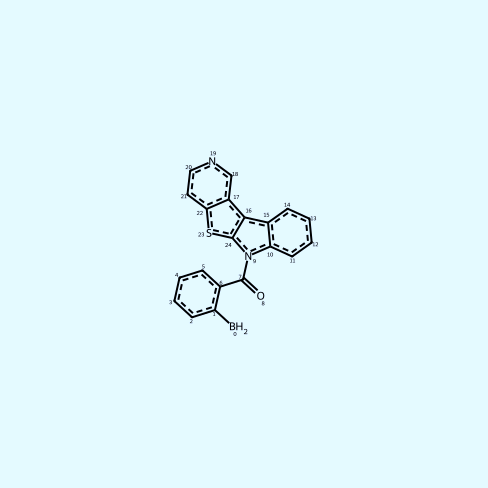 Bc1ccccc1C(=O)n1c2ccccc2c2c3cnccc3sc21